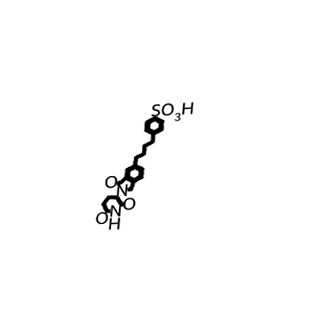 O=C1CCC(N2Cc3ccc(CCCCc4ccc(S(=O)(=O)O)cc4)cc3C2=O)C(=O)N1